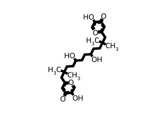 CC(C)(CCC(O)CCC(O)CCC(C)(C)Cc1cc(=O)c(O)co1)Cc1cc(=O)c(O)co1